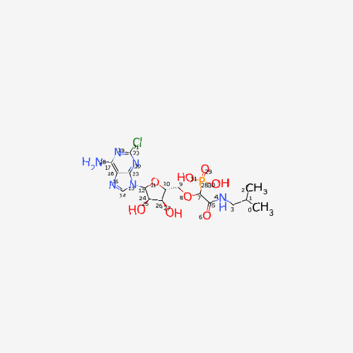 CC(C)CNC(=O)C(OC[C@H]1OC(n2cnc3c(N)nc(Cl)nc32)[C@H](O)[C@@H]1O)P(=O)(O)O